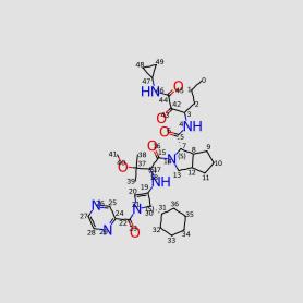 CCCC(NC(=O)[C@@H]1C2CCCC2CN1C(=O)[C@@H](NC1=CN(C(=O)c2cnccn2)[C@H]1C1CCCCC1)C(C)(C)OC)C(=O)C(=O)NC1CC1